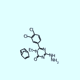 C1=CC2=CC=C1C2.CCn1c(-c2ccc(Cl)c(Cl)c2)nc(NN)nc1=O